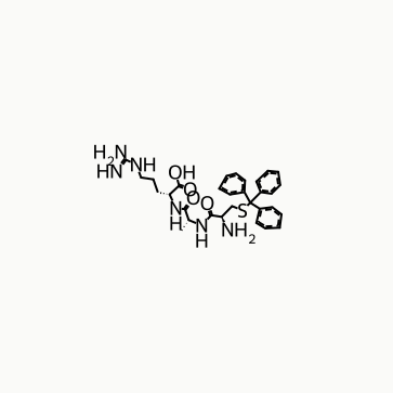 C[C@@H](NC(=O)[C@H](N)CSC(c1ccccc1)(c1ccccc1)c1ccccc1)C(=O)N[C@H](CCCNC(=N)N)C(=O)O